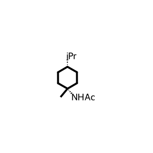 CC(=O)N[C@]1(C)CC[C@H](C(C)C)CC1